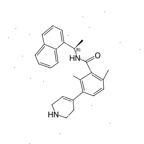 Cc1ccc(C2=CCNCC2)c(C)c1C(=O)N[C@H](C)c1cccc2ccccc12